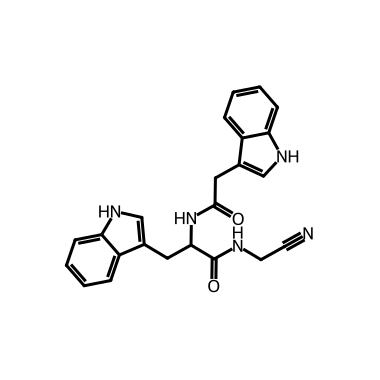 N#CCNC(=O)C(Cc1c[nH]c2ccccc12)NC(=O)Cc1c[nH]c2ccccc12